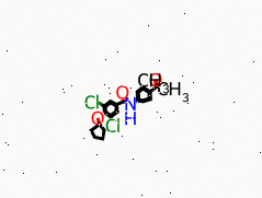 CC(=O)c1ccc(NC(=O)c2cc(Cl)c(OC3CCCC3)c(Cl)c2)cc1C